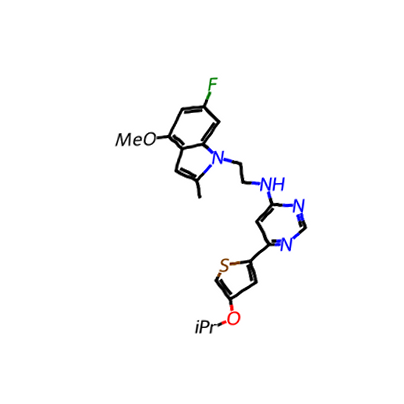 COc1cc(F)cc2c1cc(C)n2CCNc1cc(-c2cc(OC(C)C)cs2)ncn1